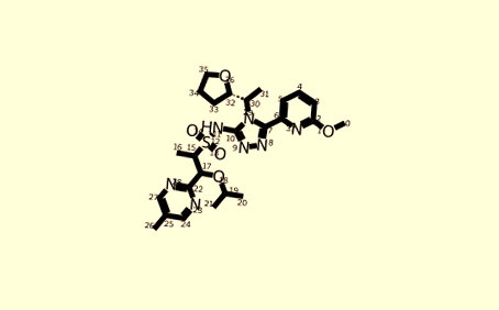 COc1cccc(-c2nnc(NS(=O)(=O)C(C)C(OC(C)C)c3ncc(C)cn3)n2C(C)[C@@H]2CCCO2)n1